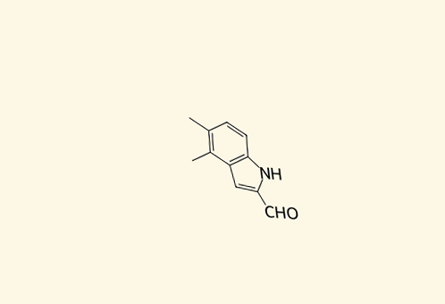 Cc1ccc2[nH]c(C=O)cc2c1C